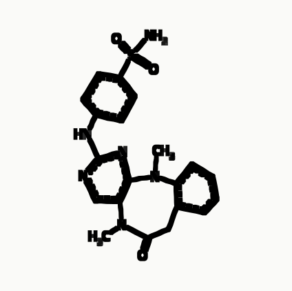 CN1C(=O)Cc2ccccc2N(C)c2nc(Nc3ccc(S(N)(=O)=O)cc3)ncc21